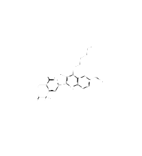 CCC1(O)C(=O)OCc2c1cc1n(c2=O)Cc2c-1nc1ccc(C=N)cc1c2OCCCCO